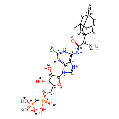 CC12CC3C[C@@H](C1)CC(C(N)C(=O)Nc1nc(Cl)nc4c1ncn4C1OC(COP(=O)(O)CP(=O)(O)O)C(O)C1O)(C3)C2